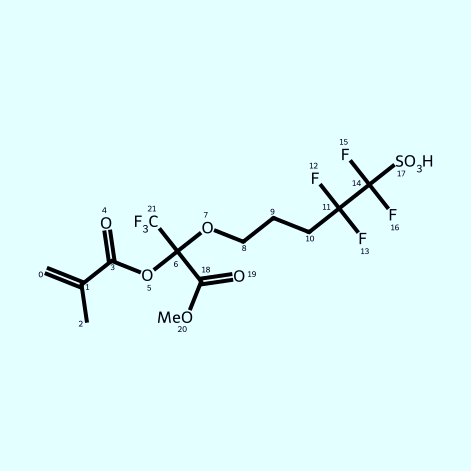 C=C(C)C(=O)OC(OCCCC(F)(F)C(F)(F)S(=O)(=O)O)(C(=O)OC)C(F)(F)F